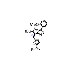 CCN(C)c1ccc(/C=c2/c(C(C)(C)C)nn3c(-c4ccccc4OC)nnc23)s1